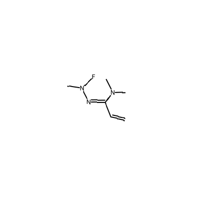 C=C/C(=N/N(C)F)N(C)C